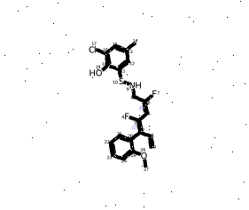 C=C/C(=C(F)\C=C(\F)CNSc1cc(C)cc(Cl)c1O)c1ccccc1OC